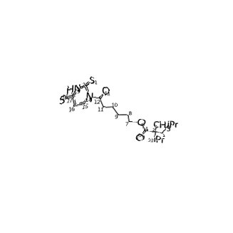 CC(C)CC(C)(C(=O)OCCCCCC(=O)n1ccc(=S)[nH]c1=S)C(C)C